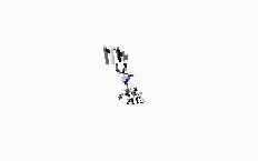 C=C/C(=C\C=C(/C)C1CNC1)C1(S(C)(=O)=O)CC1